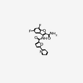 NC(=O)c1oc2c(F)cc(F)cc2c1NC(=O)c1ccc(-c2ccccn2)o1